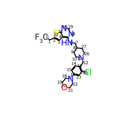 FC(F)(F)Cc1cc2c(NCC3CCN(Cc4ccc(N5CCOCC5)cc4Cl)CC3)ncnc2s1